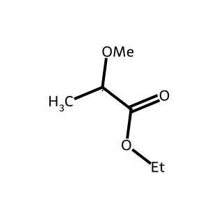 CCOC(=O)[C](C)OC